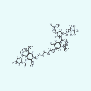 CC[C@@H]1C[C@@H](C)CN1C(=O)c1cc(OC)c(OCCCCCOc2cc([N+](=O)[O-])c(C(=O)N3C[C@H](OC(C)=O)C[C@H]3CO[Si](C)(C)C(C)(C)C)cc2C)cc1[N+](=O)[O-]